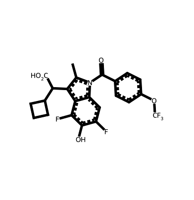 Cc1c(C(C(=O)O)C2CCC2)c2c(F)c(O)c(F)cc2n1C(=O)c1ccc(OC(F)(F)F)cc1